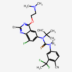 CCc1nc(OCCN(C)C)c2cc(N(C(=S)N(C)c3ccc(C#N)c(C(C)(F)F)c3)C(C)(C)C=O)cc(F)c2n1